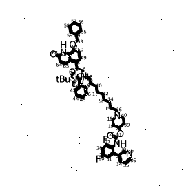 CC(C)(C)[Si](C)(C)O[C@H](CN(CCCCCCCCCN1CCC(OC(=O)Nc2c(F)cc(F)cc2-c2cccnc2)CC1)Cc1ccccc1)c1ccc(OCc2ccccc2)c2[nH]c(=O)ccc12